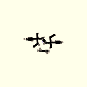 CCC(C)(C#N)/N=N/C(C)(C#N)CC.OO